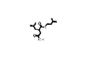 CC(C)CCOC(=O)C(CC(=O)O)CC(C)C